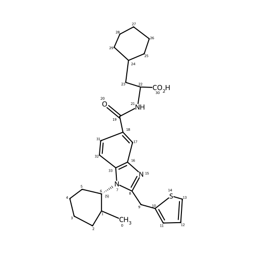 CC1CCCC[C@@H]1n1c(Cc2cccs2)nc2cc(C(=O)NC(CC3CCCCC3)C(=O)O)ccc21